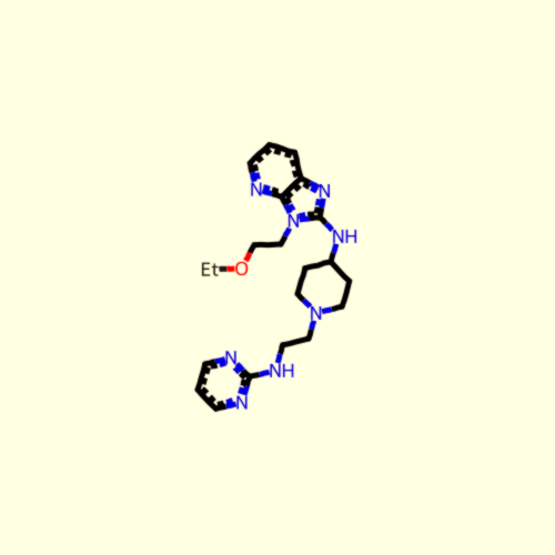 CCOCCn1c(NC2CCN(CCNc3ncccn3)CC2)nc2cccnc21